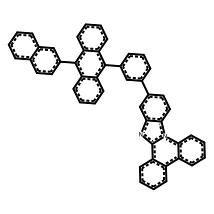 c1cc(-c2ccc3c(c2)nc2c4ccccc4c4ccccc4n32)cc(-c2c3ccccc3c(-c3ccc4ccccc4c3)c3ccccc23)c1